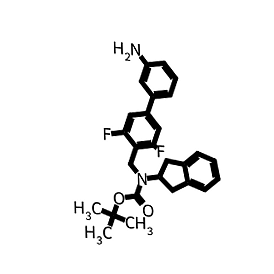 CC(C)(C)OC(=O)N(Cc1c(F)cc(-c2cccc(N)c2)cc1F)C1Cc2ccccc2C1